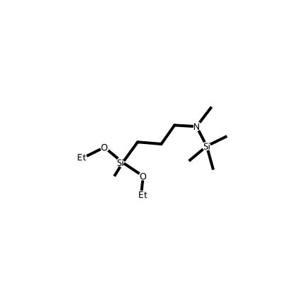 CCO[Si](C)(CCCN(C)[Si](C)(C)C)OCC